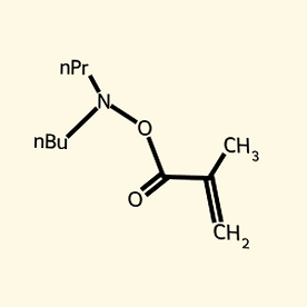 C=C(C)C(=O)ON(CCC)CCCC